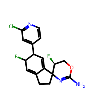 NC1=NC2(CCC3=CC(F)C(c4ccnc(Cl)c4)C=C32)[C@@H](F)CO1